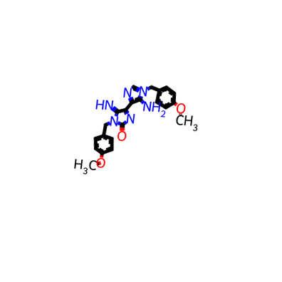 COc1ccc(CN2C(=N)C(c3ncn(Cc4ccc(OC)cc4)c3N)=NC2=O)cc1